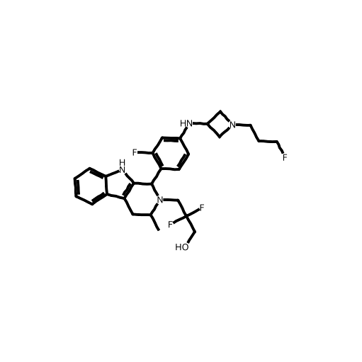 CC1Cc2c([nH]c3ccccc23)C(c2ccc(NC3CN(CCCF)C3)cc2F)N1CC(F)(F)CO